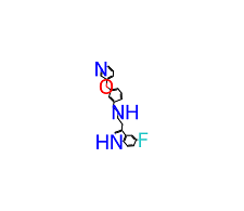 Fc1ccc2[nH]cc(CCNCc3cccc(Oc4cccnc4)c3)c2c1